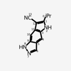 CC(C)c1[nH]c2cc3cn[nH]c3cc2c1C#N